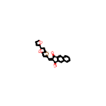 O=C1C(=Cc2cc3oc(-c4ccco4)cc3s2)C(=O)c2cc3ccccc3cc21